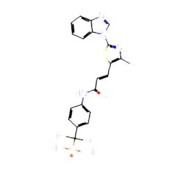 CCC(CC)(c1ccc(NC(=O)C=Cc2sc(-n3cnc4ccccc43)nc2C(C)C)cc1)P(=O)(O)O